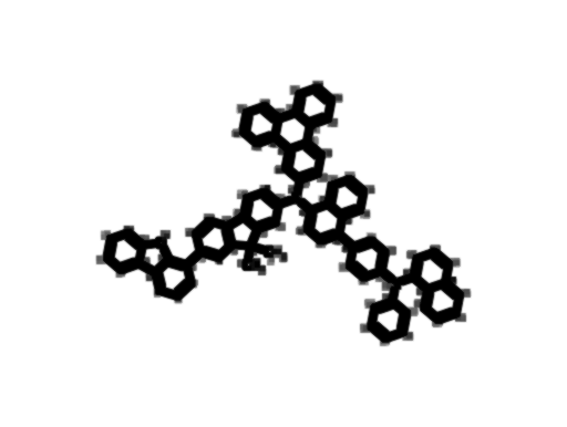 CC1(C)c2cc(-c3cccc4c3oc3ccccc34)ccc2-c2ccc(N(c3ccc4c5ccccc5c5ccccc5c4c3)c3ccc(-c4ccc(N(c5ccccc5)c5cccc6ccccc56)cc4)c4ccccc34)cc21